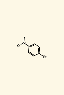 CCc1ccc([S+](C)[O-])cc1